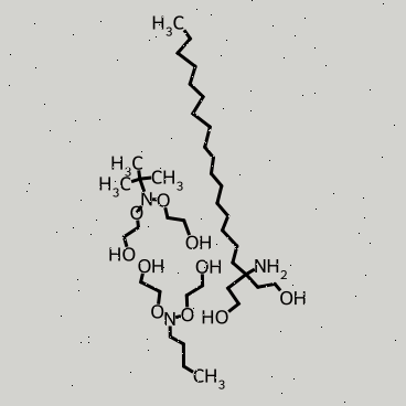 CC(C)(C)N(OCCO)OCCO.CCCCCCCCCCCCCCCCCC(N)(CCO)CCO.CCCCN(OCCO)OCCO